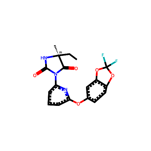 CC[C@]1(C)NC(=O)N(c2cccc(Oc3ccc4c(c3)OC(F)(F)O4)n2)C1=O